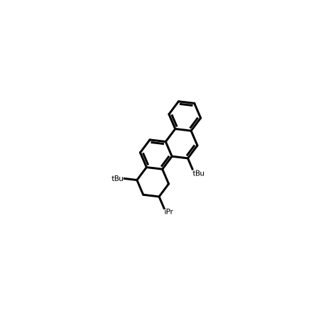 CC(C)C1Cc2c(ccc3c2c(C(C)(C)C)cc2ccccc23)C(C(C)(C)C)C1